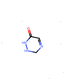 O=C1C=NCNN1